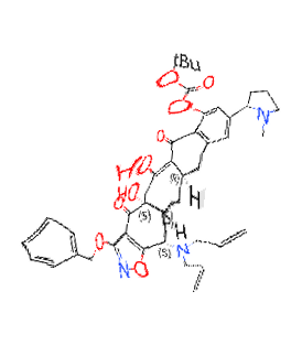 C=CCN(CC=C)[C@@H]1c2onc(OCc3ccccc3)c2C(=O)[C@@]2(O)C(O)=C3C(=O)c4c(cc(C5CCCN5C)cc4OC(=O)OC(C)(C)C)C[C@H]3C[C@@H]12